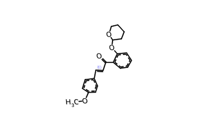 COc1ccc(/C=C/C(=O)c2ccccc2OC2CCCCO2)cc1